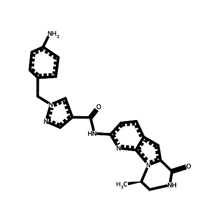 C[C@@H]1CNC(=O)c2cc3ccc(NC(=O)c4cnn(Cc5ccc(N)cc5)c4)nc3n21